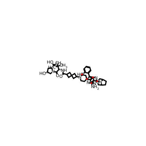 CC(C)(C)[C@H](NC(=O)C1CC2(C1)CC(N1CCC(c3cnc(N4C5CCC4CN(c4cc(-c6ccccc6O)nnc4N)C5)nc3)CC1)C2)C(=O)N1C[C@H](O)C[C@H]1C(=O)O